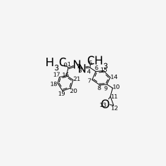 CC(=NN=C(C)c1ccc(CC2CO2)cc1)c1ccccc1